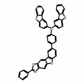 c1ccc(-c2nc3cc4oc5ccc(-c6ccc(N(c7ccc8sc9ccccc9c8c7)c7ccc8sc9ccccc9c8c7)cc6)cc5c4cc3o2)cc1